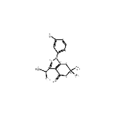 CC(C)c1nn(-c2cccc(Cl)c2)c2c1C(=O)CC(C)(C)C2